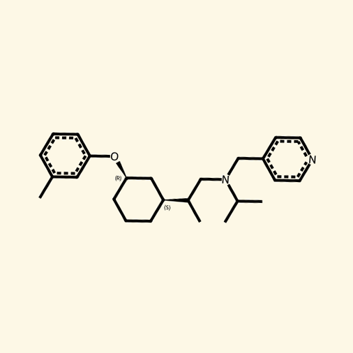 Cc1cccc(O[C@@H]2CCC[C@H](C(C)CN(Cc3ccncc3)C(C)C)C2)c1